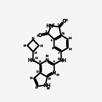 O=C1NC(=O)c2cc(Nc3nc(NC4CCC4)c4cc[nH]c4n3)ccc21